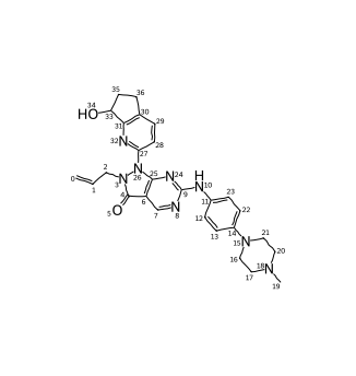 C=CCn1c(=O)c2cnc(Nc3ccc(N4CCN(C)CC4)cc3)nc2n1-c1ccc2c(n1)C(O)CC2